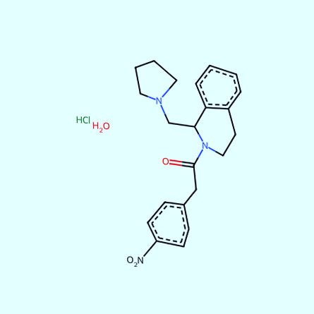 Cl.O.O=C(Cc1ccc([N+](=O)[O-])cc1)N1CCc2ccccc2C1CN1CCCC1